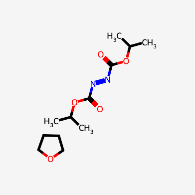 C1CCOC1.CC(C)OC(=O)/N=N/C(=O)OC(C)C